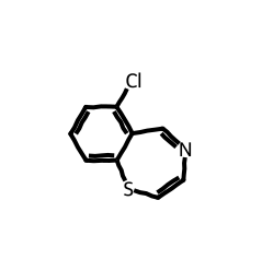 Clc1cccc2c1C=NC=CS2